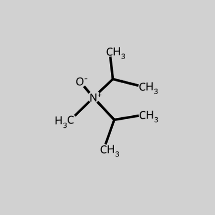 CC(C)[N+](C)([O-])C(C)C